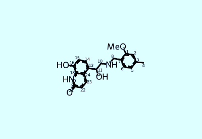 COc1cc(C)ccc1CNCC(O)c1ccc(O)c2[nH]c(=O)ccc12